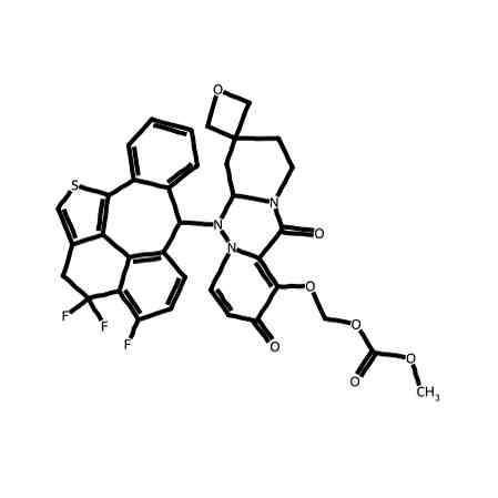 COC(=O)OCOc1c2n(ccc1=O)N(C1c3ccccc3-c3scc4c3-c3c1ccc(F)c3C(F)(F)C4)C1CC3(CCN1C2=O)COC3